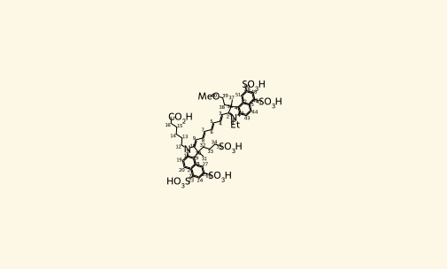 CC[N+]1=C(/C=C/C=C/C=C/C=C2/N(CCCCCC(=O)O)c3ccc4c(S(=O)(=O)O)cc(S(=O)(=O)O)cc4c3C2(C)CCCS(=O)(=O)O)C(C)(CCOC)c2c1ccc1c(S(=O)(=O)O)cc(S(=O)(=O)O)cc21